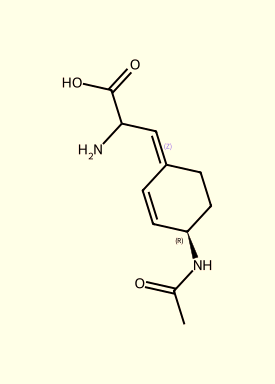 CC(=O)N[C@H]1C=C/C(=C\C(N)C(=O)O)CC1